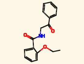 CCOc1ccccc1C(=O)NCC(=O)c1ccccc1